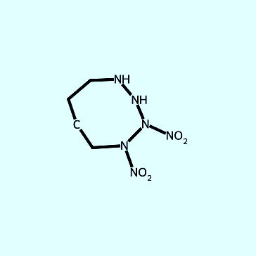 O=[N+]([O-])N1CCCCNNN1[N+](=O)[O-]